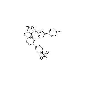 CN(c1nc(-c2ccc(F)cc2)cs1)c1c(C=O)nc2ccc(C3=CCN(S(C)(=O)=O)CC3)nn12